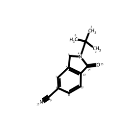 CC(C)(C)N1Cc2cc(C#N)ccc2C1=O